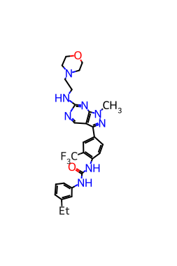 CCc1cccc(NC(=O)Nc2ccc(-c3nn(C)c4nc(NCCN5CCOCC5)ncc34)cc2C(F)(F)F)c1